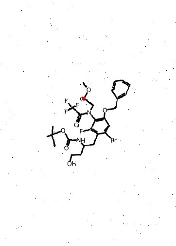 COC(=O)CN(C(=O)C(F)(F)F)c1c(OCc2ccccc2)cc(Br)c(C[C@@H](CCO)NC(=O)OC(C)(C)C)c1F